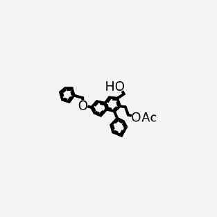 CC(=O)OCCc1c(CO)cc2cc(OCc3ccccc3)ccc2c1-c1ccccc1